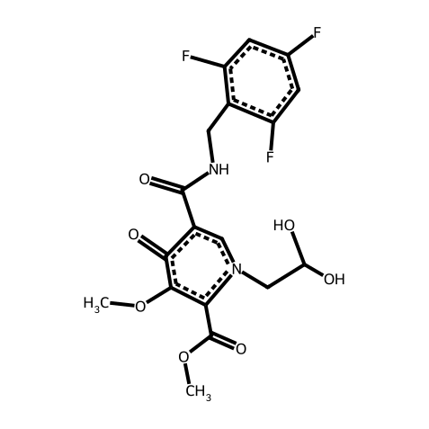 COC(=O)c1c(OC)c(=O)c(C(=O)NCc2c(F)cc(F)cc2F)cn1CC(O)O